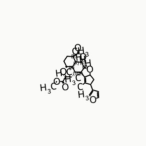 COC(=O)CC[C@H]1[C@]2(C)C3=C(C)C(c4ccoc4)CC3O[C@@H]2[C@@H]2OC(=O)[C@]3(C)CCC(=O)[C@@]1(C)[C@@H]23